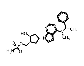 C[C@@H](c1ccccc1)N(C)c1ncnc2c1ccn2[C@@H]1C[C@@H](COS(N)(=O)=O)[C@@H](O)C1